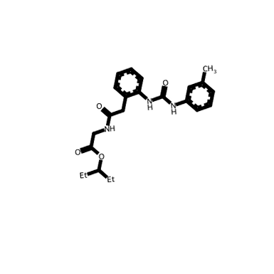 CCC(CC)OC(=O)CNC(=O)Cc1ccccc1NC(=O)Nc1cccc(C)c1